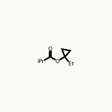 CCC1(OC(=O)C(C)C)CC1